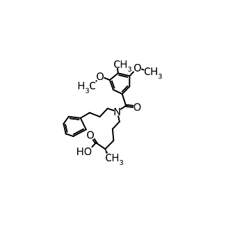 COc1cc(C(=O)N(CCCc2ccccc2)CCC[C@@H](C)C(=O)O)cc(OC)c1C